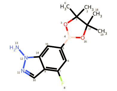 CC1(C)OB(c2cc(F)c3cnn(N)c3c2)OC1(C)C